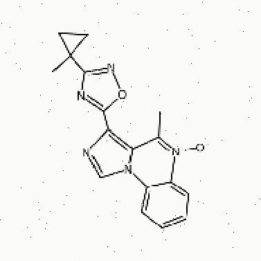 Cc1c2c(-c3nc(C4(C)CC4)no3)ncn2c2ccccc2[n+]1[O-]